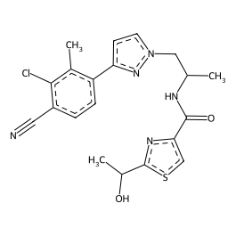 Cc1c(-c2ccn(CC(C)NC(=O)c3csc(C(C)O)n3)n2)ccc(C#N)c1Cl